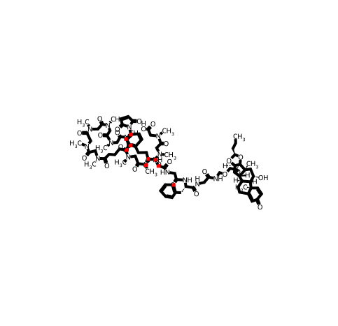 CCC[C@@H]1O[C@@H]2C[C@H]3[C@@H]4CCC5=CC(=O)C=C[C@]5(C)[C@H]4[C@@H](O)C[C@]3(C)[C@]2(C(=O)COCNC(=O)CNC(=O)[C@H](Cc2ccccc2)NC(=O)CNC(=O)CNC(=O)CCc2ccc(N3C(=O)C=CC3=O)cc2OCCCC(=O)N(C)CC(=O)N(C)CC(=O)N(C)CC(=O)N(C)CC(=O)N(C)CC(=O)N(C)CC(=O)N(C)CC(=O)N(C)CC(=O)N(C)CC(=O)N(C)CC(=O)O)O1